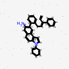 C=C/C(=C\Cc1ccccc1-c1cc2c(ccc3c2ccn3-c2ccccc2)cc1N)c1ccccc1